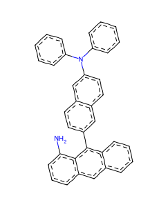 Nc1cccc2cc3ccccc3c(-c3ccc4cc(N(c5ccccc5)c5ccccc5)ccc4c3)c12